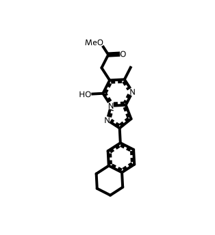 COC(=O)Cc1c(C)nc2cc(-c3ccc4c(c3)CCCC4)nn2c1O